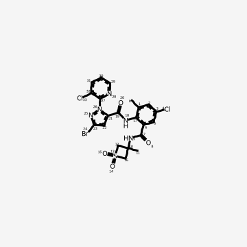 Cc1cc(Cl)cc(C(=O)NC2(C)CS(=O)(=O)C2)c1NC(=O)c1cc(Br)nn1-c1ncccc1Cl